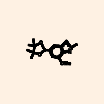 COc1cc(B2OC(C)(C)C(C)(C)O2)cc2cn(C)nc12